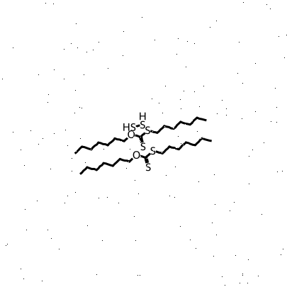 CCCCCCCOC(=S)SCCCCCCC.CCCCCCCOC(=S)SCCCCCCC.SS